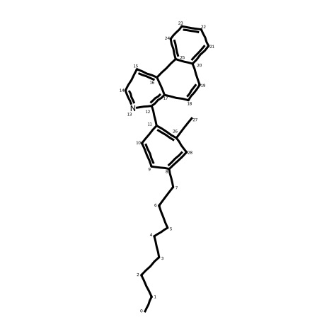 CCCCCCCCc1ccc(-c2nccc3c2ccc2ccccc23)c(C)c1